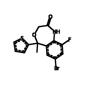 CC1(c2cccs2)OCC(=O)Nc2c(F)cc(Br)cc21